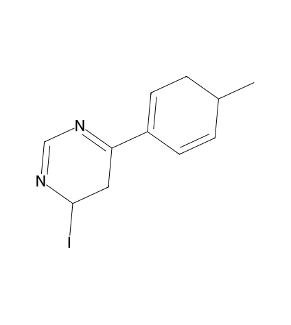 CC1C=CC(C2=NC=NC(I)C2)=CC1